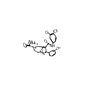 COc1cccc(-c2nn3c(c2C(=O)Nc2ccc(Cl)c(Cl)c2)CN(C(N)=O)CC3)c1